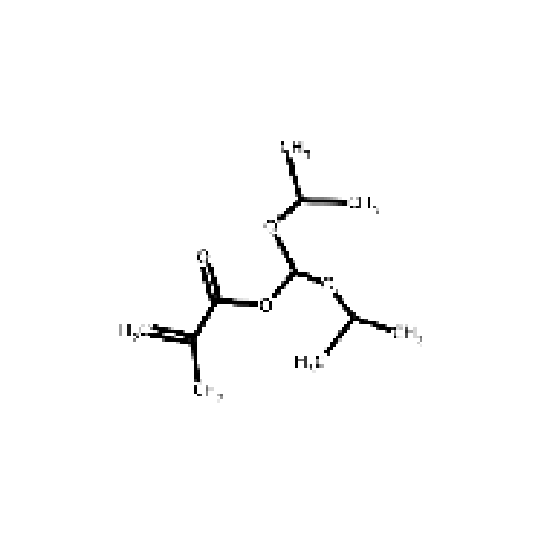 C=C(C)C(=O)OC(OC(C)C)OC(C)C